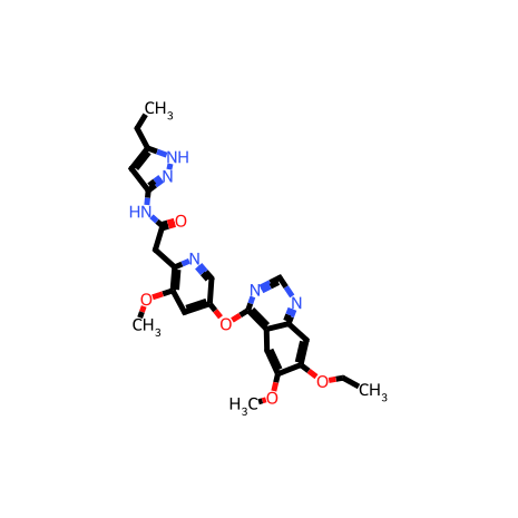 CCOc1cc2ncnc(Oc3cnc(CC(=O)Nc4cc(CC)[nH]n4)c(OC)c3)c2cc1OC